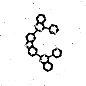 c1cncc(-c2nc(-c3ccc4oc5ccc(-c6nc(-c7cccnc7)c7ccccc7n6)cc5c4c3)nc3ccccc23)c1